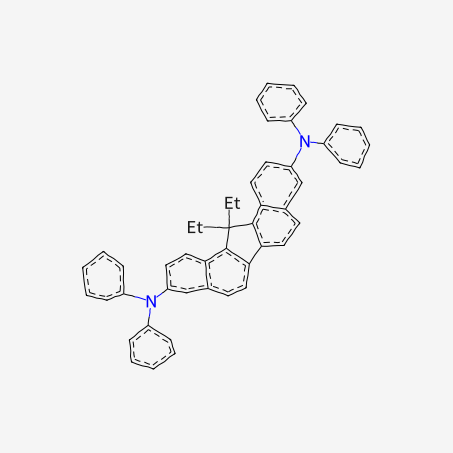 CCC1(CC)c2c(ccc3cc(N(c4ccccc4)c4ccccc4)ccc23)-c2ccc3cc(N(c4ccccc4)c4ccccc4)ccc3c21